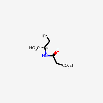 CCOC(=O)CC(=O)N[C@@H](CC(C)C)C(=O)O